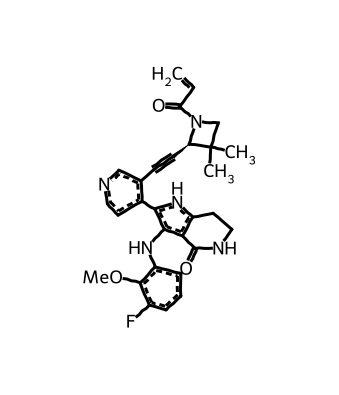 C=CC(=O)N1CC(C)(C)[C@H]1C#Cc1cnccc1-c1[nH]c2c(c1Nc1cccc(F)c1OC)C(=O)NCC2